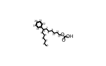 CCCCCCC(CCCCCCOC(=O)O)c1ccccc1